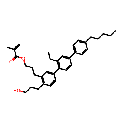 C=C(C)C(=O)OCCCc1cc(-c2ccc(-c3ccc(CCCCC)cc3)cc2CC)ccc1CCCO